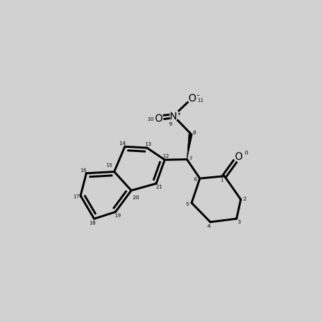 O=C1CCCCC1[C@H](C[N+](=O)[O-])c1ccc2ccccc2c1